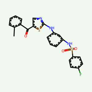 Cc1ccccc1C(=O)c1cnc(Nc2cccc(NS(=O)(=O)c3ccc(F)cc3)c2)s1